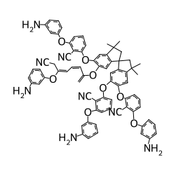 C=C(/C=C\C=C(/CC#N)Oc1cccc(N)c1)Oc1cc2c(cc1Oc1cccc(Oc3cccc(N)c3)c1C#N)C(C)(C)CC21CC(C)(C)c2cc(Oc3cccc(Oc4cccc(N)c4)c3C#N)c(Oc3cccc(Oc4cccc(N)c4)c3C#N)cc21